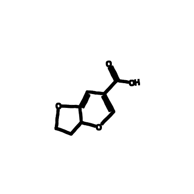 O=C(O)C1=COC2CCOC2=C1